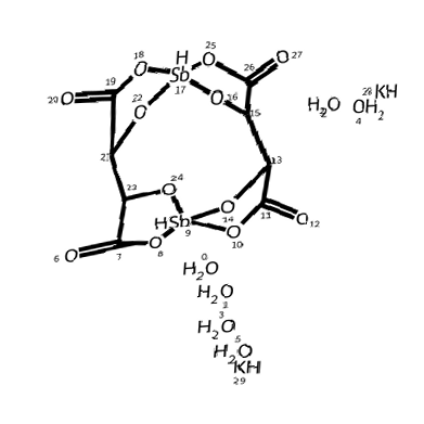 O.O.O.O.O.O.O=C1[O][SbH]23[O]C(=O)C([O]2)C2[O][SbH]4([O]C(=O)C([O]4)C1[O]3)[O]C2=O.[KH].[KH]